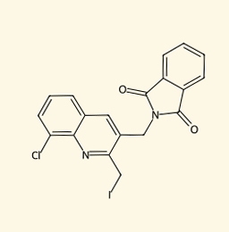 O=C1c2ccccc2C(=O)N1Cc1cc2cccc(Cl)c2nc1CI